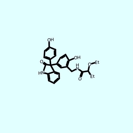 CCOC(CC)C(=O)NCc1cc(C2(c3ccc(O)cc3)C(=O)Nc3ccccc32)ccc1O